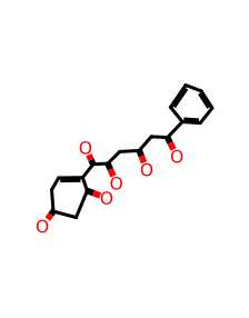 O=C1CC=C(C(=O)C(=O)CC(=O)CC(=O)c2ccccc2)C(=O)C1